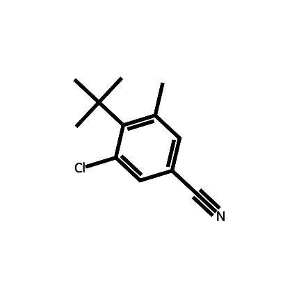 Cc1cc(C#N)cc(Cl)c1C(C)(C)C